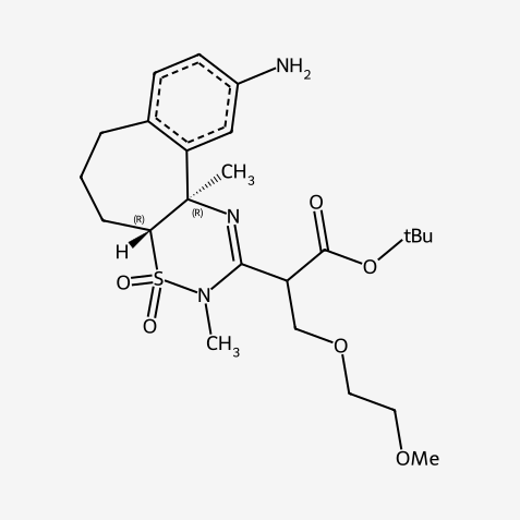 COCCOCC(C(=O)OC(C)(C)C)C1=N[C@]2(C)c3cc(N)ccc3CCC[C@H]2S(=O)(=O)N1C